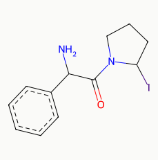 NC(C(=O)N1CCCC1I)c1ccccc1